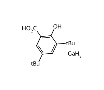 CC(C)(C)c1cc(C(=O)O)c(O)c(C(C)(C)C)c1.[GaH3]